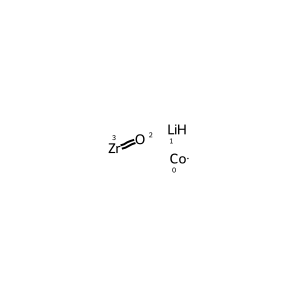 [Co].[LiH].[O]=[Zr]